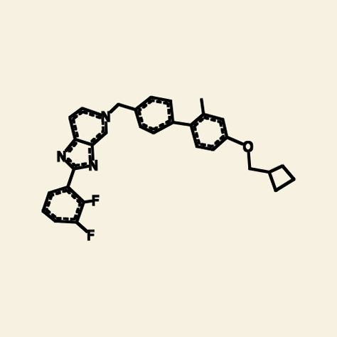 Cc1cc(OCC2CCC2)ccc1-c1ccc(Cn2ccc3nc(-c4cccc(F)c4F)nc-3c2)cc1